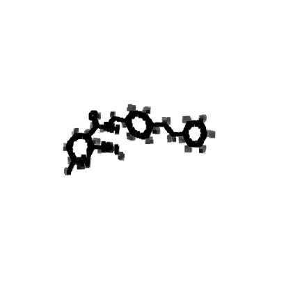 Cc1ccc(C(=O)NCc2ccc(CCc3ccccc3)cc2)c(N)n1